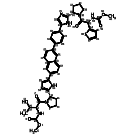 COC(=O)NC(C(=O)N1CCC[C@H]1c1ncc(-c2ccc3cc(-c4ccc(-c5cnc([C@@H]6CCCN6C(=O)[C@H](NC(=O)OC)c6cccs6)[nH]5)cc4)ccc3c2)[nH]1)[C@@H](C)O